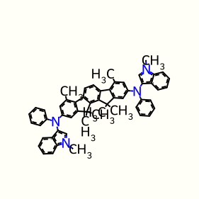 Cc1cc(N(c2ccccc2)c2cn(C)c3ccccc23)cc2c1-c1ccc3c(c1C2(C)C)C(C)(C)c1cc(N(c2ccccc2)c2cn(C)c4ccccc24)cc(C)c1-3